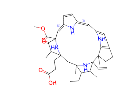 C=CC12NC(C)(CC3(CCC(=O)O)NC(C(=O)OC)(/C=c4/cc/c([nH]4)=C/c4cc5c([nH]4)C1(C)CC5)C(=O)C3C)C(CC)C2C